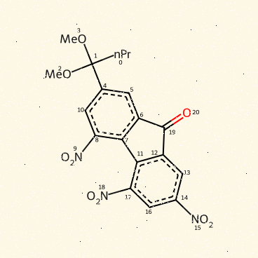 CCCC(OC)(OC)c1cc2c(c([N+](=O)[O-])c1)-c1c(cc([N+](=O)[O-])cc1[N+](=O)[O-])C2=O